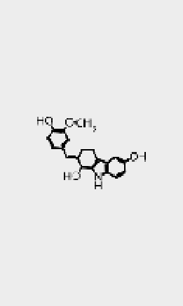 COc1cc(/C=C2\CCc3c([nH]c4ccc(O)cc34)C2O)ccc1O